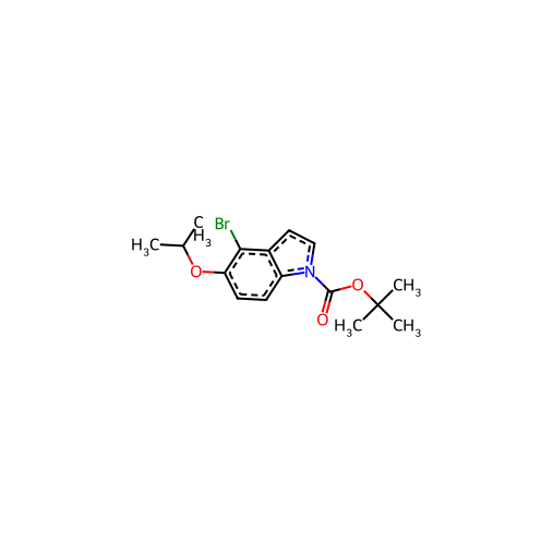 CC(C)Oc1ccc2c(ccn2C(=O)OC(C)(C)C)c1Br